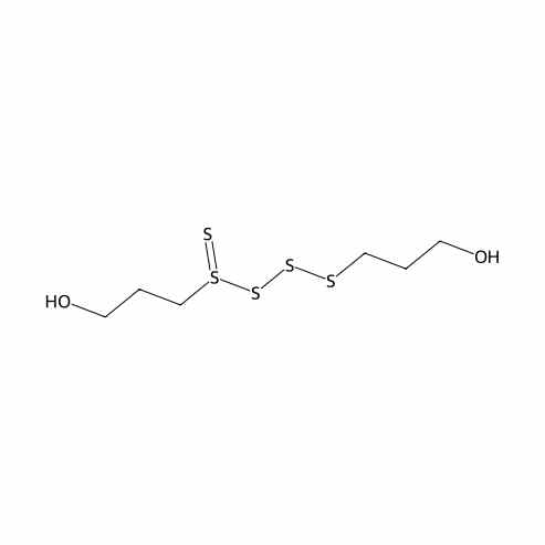 OCCCSSSS(=S)CCCO